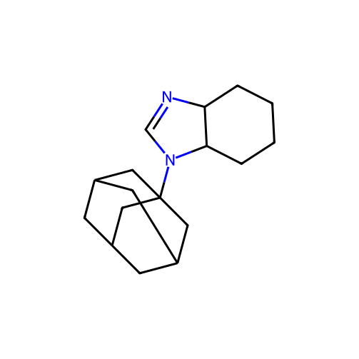 C1=NC2CCCCC2N1C12CC3CC(CC(C3)C1)C2